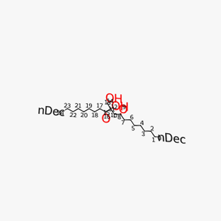 CCCCCCCCCCCCCCCCCC(=O)[CH]C(O)(CO)C(=O)CCCCCCCCCCCCCCCCC